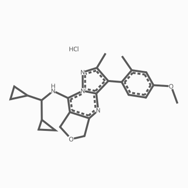 COc1ccc(-c2c(C)nn3c(NC(C4CC4)C4CC4)c4c(nc23)COC4)c(C)c1.Cl